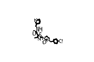 Cc1nc(N2CCN(Cc3ccc(Cl)cc3)C2=O)sc1C(=O)NCc1cccnc1